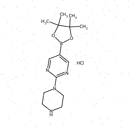 CC1(C)OB(c2cnc(N3CCNCC3)nc2)OC1(C)C.Cl